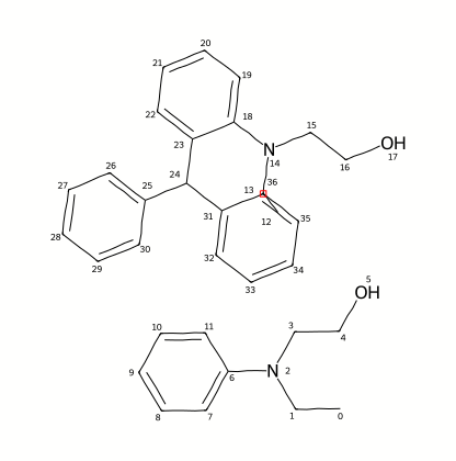 CCN(CCO)c1ccccc1.CCN(CCO)c1ccccc1C(c1ccccc1)c1ccccc1